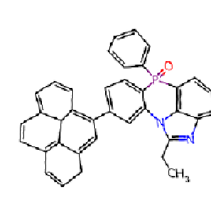 CCc1nc2cccc3c2n1-c1cc(C2=C4C=CC=C5C=CC6=C(C(=C2)CC=C6)C54)ccc1P3(=O)c1ccccc1